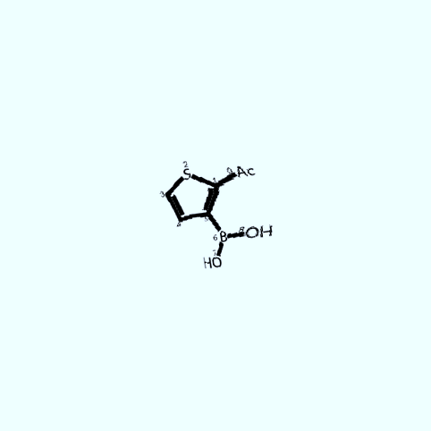 CC(=O)c1sccc1B(O)O